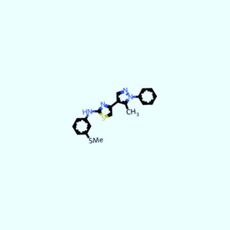 CSc1cccc(Nc2nc(-c3cnn(-c4ccccc4)c3C)cs2)c1